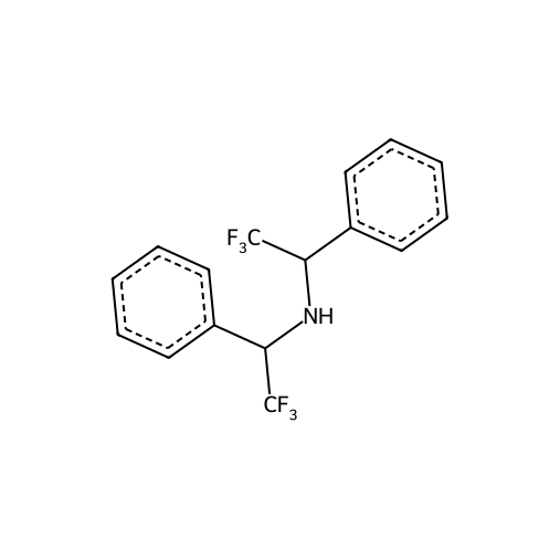 FC(F)(F)C(NC(c1ccccc1)C(F)(F)F)c1ccccc1